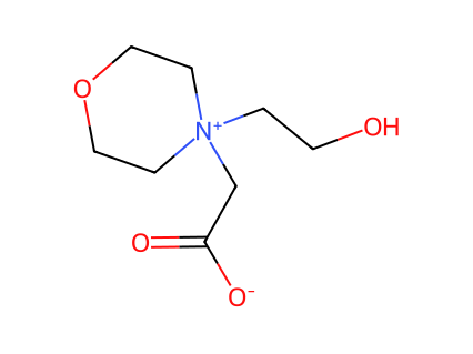 O=C([O-])C[N+]1(CCO)CCOCC1